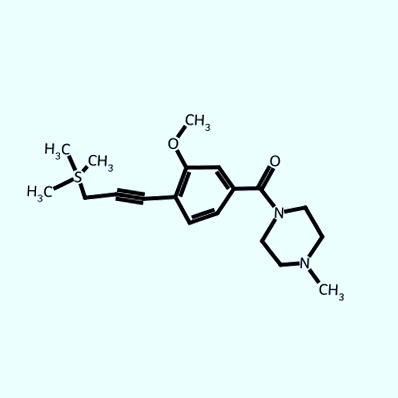 COc1cc(C(=O)N2CCN(C)CC2)ccc1C#CCS(C)(C)C